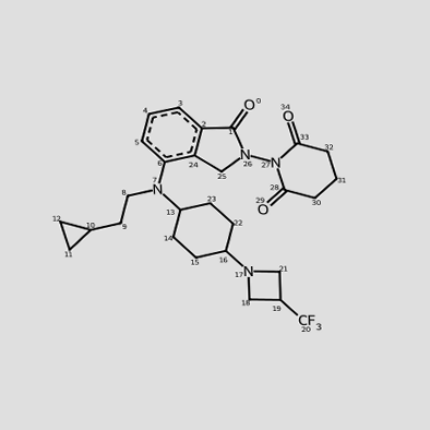 O=C1c2cccc(N(CCC3CC3)C3CCC(N4CC(C(F)(F)F)C4)CC3)c2CN1N1C(=O)CCCC1=O